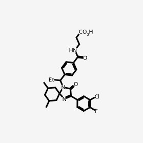 CCC(c1ccc(C(=O)NCCC(=O)O)cc1)N1C(=O)C(c2ccc(F)c(Cl)c2)=NC12CC(C)CC(C)C2